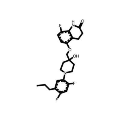 CCCc1cc(N2CCC(O)(COc3ccc(F)c4c3CCC(=O)N4)CC2)c(F)cc1F